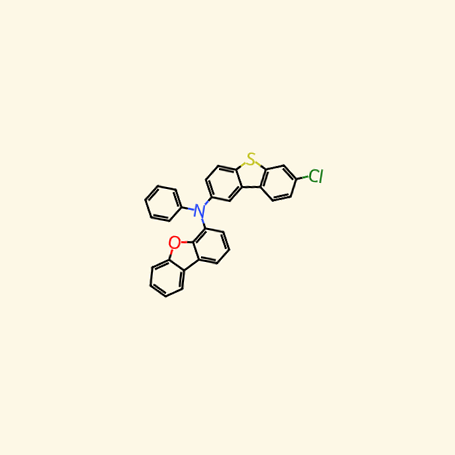 Clc1ccc2c(c1)sc1ccc(N(c3ccccc3)c3cccc4c3oc3ccccc34)cc12